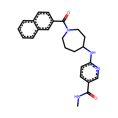 CNC(=O)c1ccc(NC2CCCN(C(=O)c3ccc4ccccc4c3)CC2)nc1